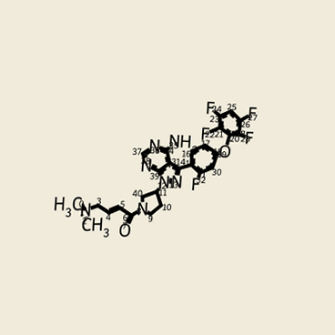 CN(C)CC=CC(=O)N1CCC(n2nc(-c3ccc(Oc4c(F)c(F)cc(F)c4F)cc3F)c3c(N)ncnc32)C1